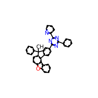 CC1(c2ccccc2)c2cc(-c3nc(-c4ccccc4)nc(-c4ccccn4)n3)ccc2-c2c1ccc1oc3ccccc3c21